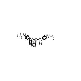 Cl.Cl.Cl.Cl.Nc1ccc(NCCCCCNc2ccc(N)cc2)cc1